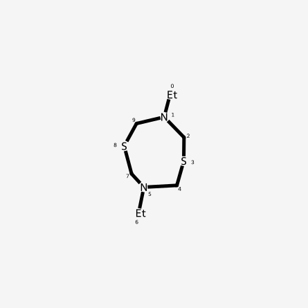 CCN1CSCN(CC)CSC1